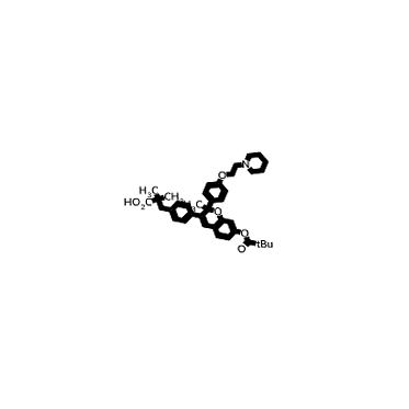 CC(C)(C)C(=O)Oc1ccc2c(c1)OC(C)(c1ccc(OCCN3CCCCC3)cc1)C(c1ccc(CC(C)(C)C(=O)O)cc1)=C2